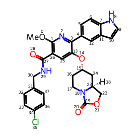 COc1nc(-c2ccc3[nH]ccc3c2)c(O[C@H]2CCN3C(=O)OC[C@@H]3C2)cc1C(=O)NCc1ccc(Cl)cc1